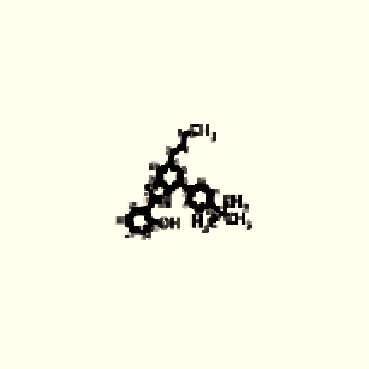 CCCCc1cc(-c2ccc([Si](C)(C)C)cc2)c2nc(-c3ccccc3O)sc2c1